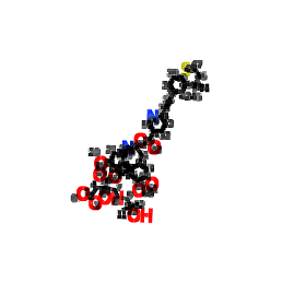 COC(=O)C[C@](O)(CCCC(C)(C)O)C(=O)O[C@@H]1C(OC)=C[C@]23CCCN2C(OC(=O)c2ccc(C#Cc4ccc5c(c4)C(C)(C)CCS5)nc2)Cc2cc4c(cc2[C@H]13)OCO4